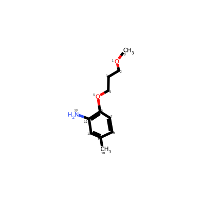 COCCCOc1ccc(C)cc1N